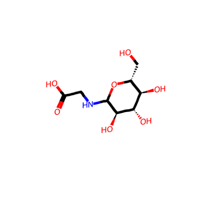 O=C(O)CNC1O[C@H](CO)[C@@H](O)[C@H](O)[C@H]1O